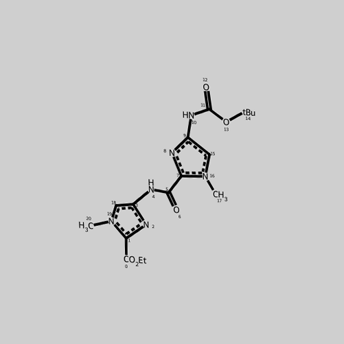 CCOC(=O)c1nc(NC(=O)c2nc(NC(=O)OC(C)(C)C)cn2C)cn1C